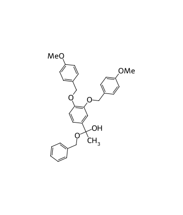 COc1ccc(COc2ccc(C(C)(O)OCc3ccccc3)cc2OCc2ccc(OC)cc2)cc1